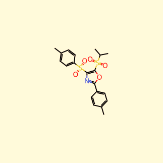 Cc1ccc(-c2nc(S(=O)(=O)c3ccc(C)cc3)c(S(=O)(=O)C(C)C)o2)cc1